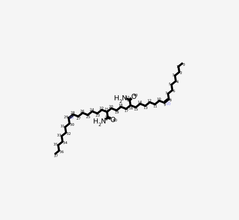 CCCCCCCC/C=C\CCCCCCC(CCCCC(CCCCCC/C=C\CCCCCCCC)C(N)=O)C(N)=O